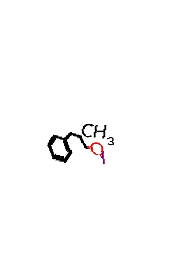 CC(COI)Cc1ccccc1